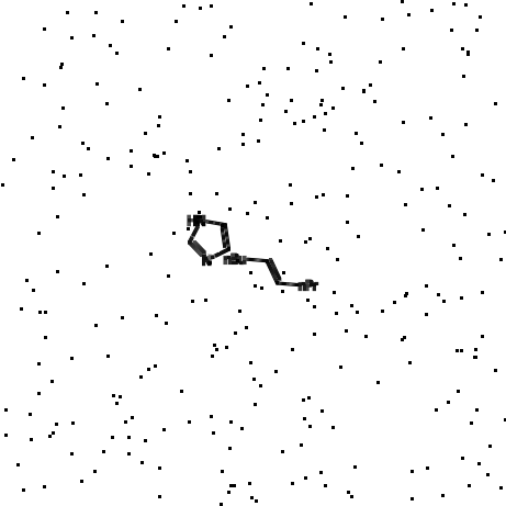 CCCC=CCCCC.c1c[nH]cn1